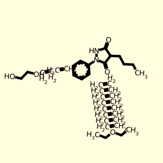 C=C.C=C.C=C.C=C.C=C.C=C.C=C.C=C.C=C.C=C.CCCCC1C(=O)NN(c2ccccc2)C1=O.CCOCC.OCCO